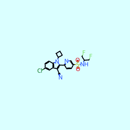 N#Cc1c(-c2ccc(S(=O)(=O)NC(CF)CF)cn2)n(C2CCC2)c2ccc(Cl)cc12